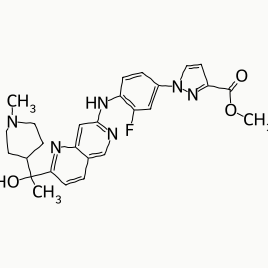 COC(=O)c1ccn(-c2ccc(Nc3cc4nc(C(C)(O)C5CCN(C)CC5)ccc4cn3)c(F)c2)n1